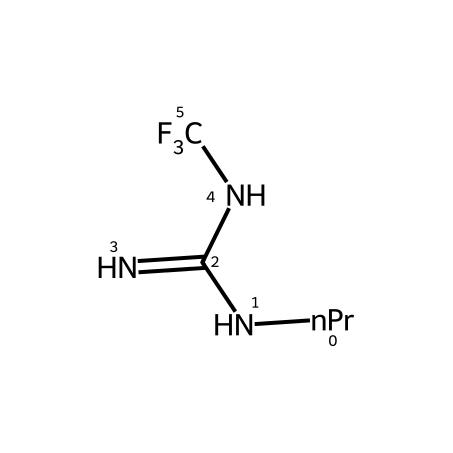 CCCNC(=N)NC(F)(F)F